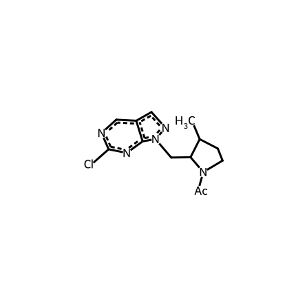 CC(=O)N1CCC(C)C1Cn1ncc2cnc(Cl)nc21